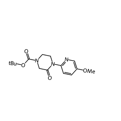 COc1ccc(N2CCN(C(=O)OC(C)(C)C)CC2=O)nc1